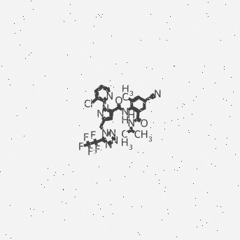 CC1=CC(C#N)CC(C(=O)NC(C)C)=C1NC(=O)c1cc(Cn2nnnc2C(F)(F)C(F)(F)F)nn1-c1ncccc1Cl